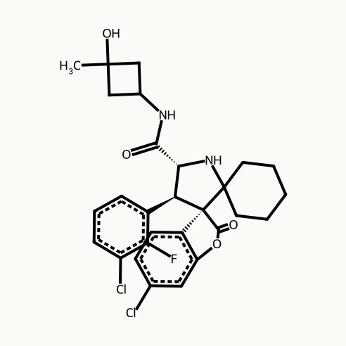 CC1(O)CC(NC(=O)[C@@H]2NC3(CCCCC3)[C@@]3(C(=O)Oc4cc(Cl)ccc43)[C@H]2c2cccc(Cl)c2F)C1